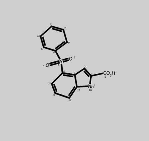 O=C(O)c1cc2c(S(=O)(=O)c3ccccc3)cccc2[nH]1